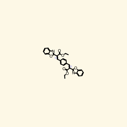 CCOC(=O)/C(=C\c1ccc(/C=C(\C(=O)OCC)c2nc3ccccc3o2)cc1)c1nc2ccccc2o1